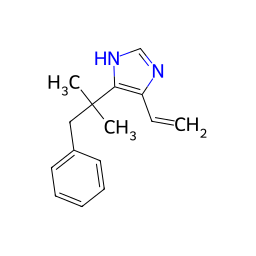 C=Cc1nc[nH]c1C(C)(C)Cc1ccccc1